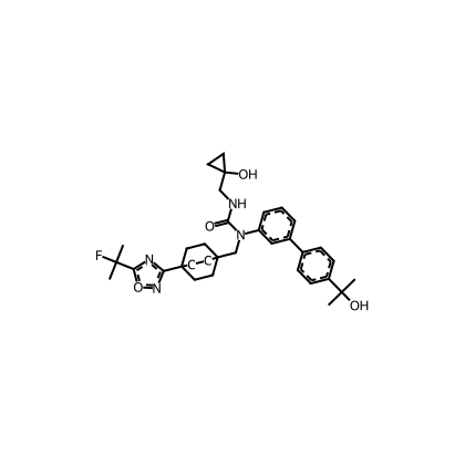 CC(C)(O)c1ccc(-c2cccc(N(CC34CCC(c5noc(C(C)(C)F)n5)(CC3)CC4)C(=O)NCC3(O)CC3)c2)cc1